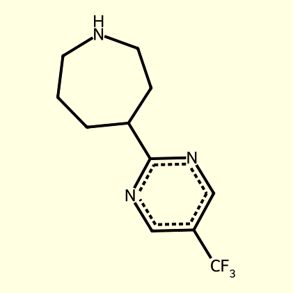 FC(F)(F)c1cnc(C2CCCNCC2)nc1